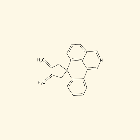 C=CCC1(CC=C)c2ccccc2-c2cncc3cccc1c23